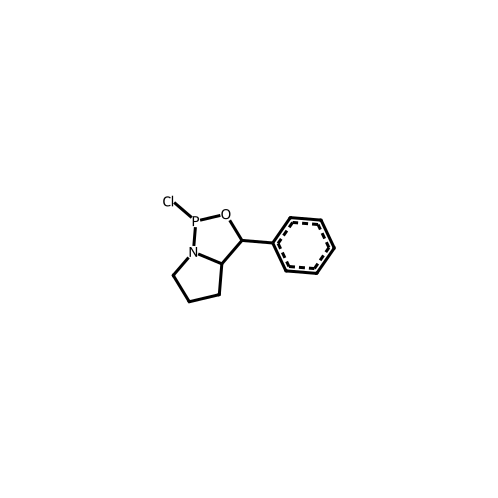 ClP1OC(c2ccccc2)C2CCCN21